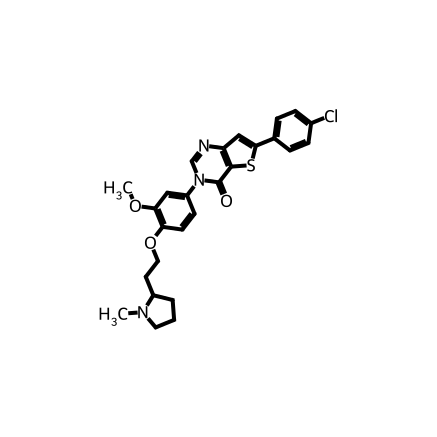 COc1cc(-n2cnc3cc(-c4ccc(Cl)cc4)sc3c2=O)ccc1OCCC1CCCN1C